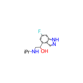 CC(C)NC[C@H](O)c1cc(F)cc2[nH]ncc12